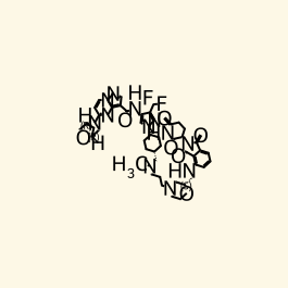 CN(CCCN1CCO[C@@H](CNc2cccc3c2C(=O)N(C2CCC(=O)NC2=O)C3=O)C1)C[C@H]1CC[C@H](n2cc(NC(=O)c3cnn4ccc(N5C[C@H]6C[C@@H]5CO6)nc34)c(C(F)F)n2)CC1